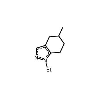 CCn1ncc2c1CCC(C)C2